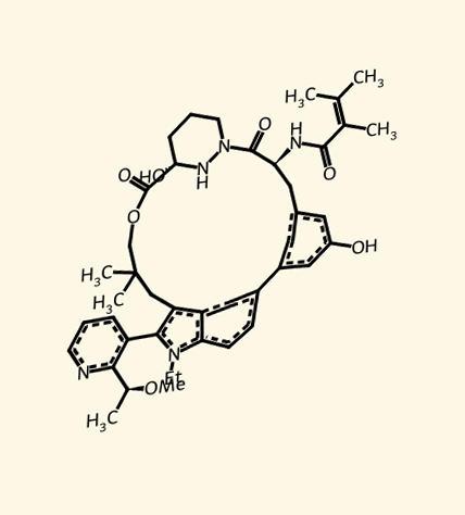 CCn1c(-c2cccnc2[C@H](C)OC)c2c3cc(ccc31)-c1cc(O)cc(c1)C[C@H](NC(=O)C(C)=C(C)C)C(=O)N1CCC[C@@](O)(N1)C(=O)OCC(C)(C)C2